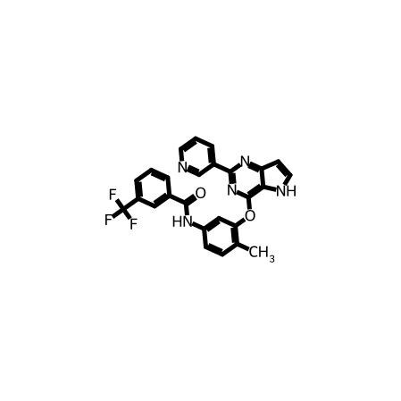 Cc1ccc(NC(=O)c2cccc(C(F)(F)F)c2)cc1Oc1nc(-c2cccnc2)nc2cc[nH]c12